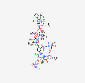 CC[C@H](C)[C@@H]([C@@H](CC(=O)N1CCC[C@H]1C[C@@H](C)C(=O)N[C@H](C)[C@@H](O)c1ccccc1)OC)N(C)C(=O)[C@@H](NC(=O)[C@H](C(C)C)N(C)C(=O)OCc1ccc(NC(=O)[C@H](CCCNC(N)=O)NC(=O)[C@@H](NC(=O)[C@H](CS(=O)(=O)O)NC(=O)CCOCCC(=O)C(C)C)C(C)C)cc1C(=O)NCCN)C(C)C